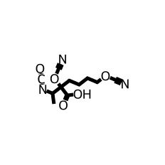 CC(N=C=O)C(CCCCOC#N)(OC#N)C(=O)O